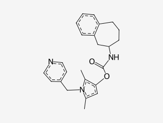 Cc1cc(OC(=O)NC2CCCc3ccccc3C2)c(C)n1Cc1ccncc1